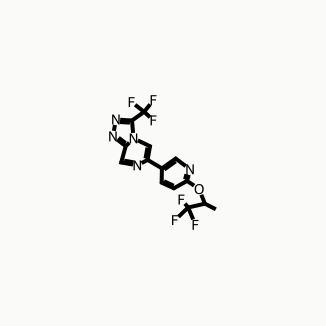 CC(Oc1ccc(-c2cn3c(C(F)(F)F)nnc3cn2)cn1)C(F)(F)F